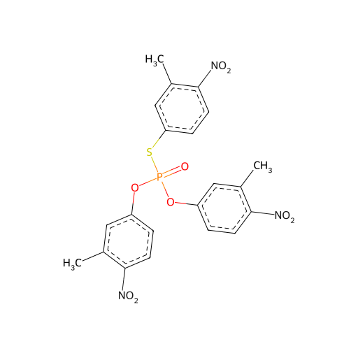 Cc1cc(OP(=O)(Oc2ccc([N+](=O)[O-])c(C)c2)Sc2ccc([N+](=O)[O-])c(C)c2)ccc1[N+](=O)[O-]